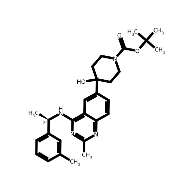 Cc1cccc([C@@H](C)Nc2nc(C)nc3ccc(C4(O)CCN(C(=O)OC(C)(C)C)CC4)cc23)c1